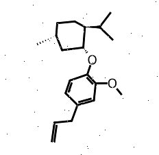 C=CCc1ccc(O[C@@H]2C[C@H](C)CC[C@H]2C(C)C)c(OC)c1